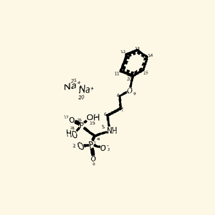 O=P([O-])([O-])C(NCCCOc1ccccc1)P(=O)(O)O.[Na+].[Na+]